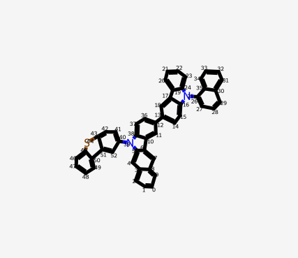 c1ccc2cc3c(cc2c1)c1cc(-c2ccc4c(c2)c2ccccc2n4-c2cccc4ccccc24)ccc1n3-c1ccc2sc3ccccc3c2c1